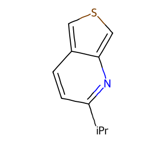 CC(C)c1ccc2cscc2n1